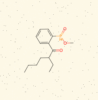 CCCCC(CC)C(=O)c1ccccc1[PH](=O)OC